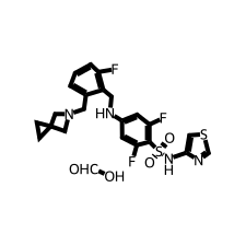 O=CO.O=S(=O)(Nc1cscn1)c1c(F)cc(NCc2c(F)cccc2CN2CC3(CC3)C2)cc1F